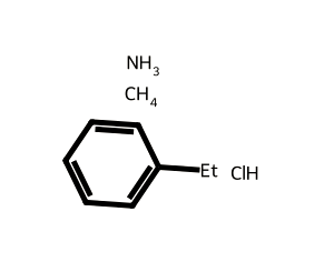 C.CCc1ccccc1.Cl.N